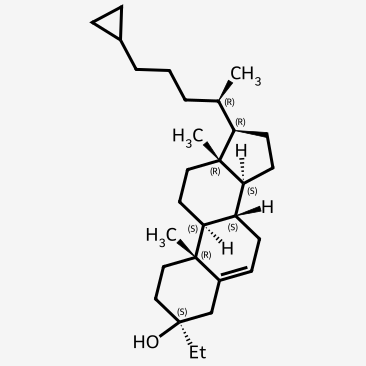 CC[C@]1(O)CC[C@@]2(C)C(=CC[C@H]3[C@@H]4CC[C@H]([C@H](C)CCCC5CC5)[C@@]4(C)CC[C@@H]32)C1